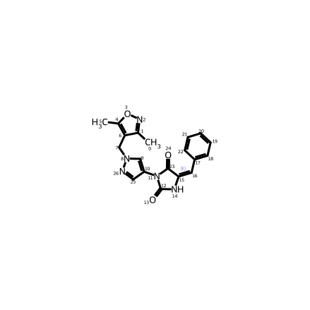 Cc1noc(C)c1Cn1cc(N2C(=O)N/C(=C/c3ccccc3)C2=O)cn1